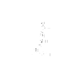 Cc1ccc(-c2cc(C(F)(F)F)nn2-c2ccc(S(=O)(=O)NC(=O)[C@@H]3CCN3/[N+]([O-])=N\OC(C)OC(=O)OC(C)C)cc2)cc1